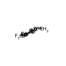 C=CCC[C@H]1CC[C@H](C2COC(C#Cc3ccc(OC(F)C(F)(F)F)cc3)CO2)CC1